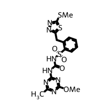 COc1nc(C)nc(NC(=O)NS(=O)(=O)c2ccccc2Cc2nnc(SC)s2)n1